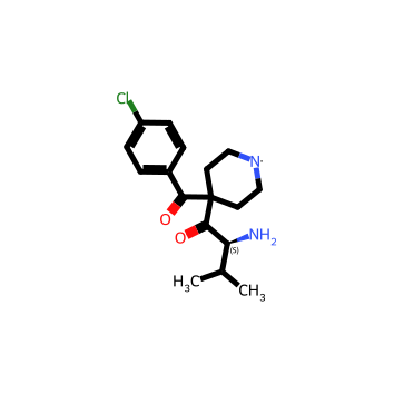 CC(C)[C@H](N)C(=O)C1(C(=O)c2ccc(Cl)cc2)CC[N]CC1